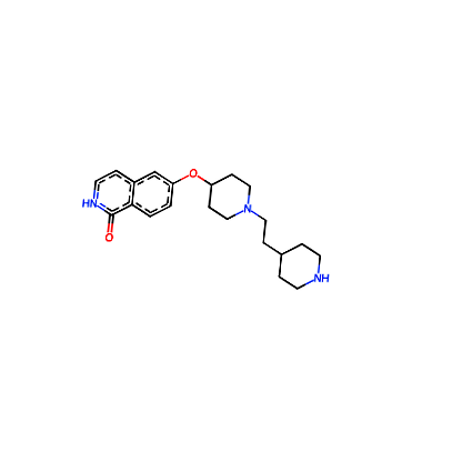 O=c1[nH]ccc2cc(OC3CCN(CCC4CCNCC4)CC3)ccc12